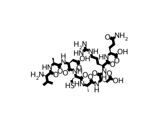 CC(C)[C@H](N)C(=O)N[C@@H](C)C(=O)N[C@@H](CC(=O)O)C(=O)N[C@@H](CS)C(=O)N[C@@H](C)C(=O)N[C@@H](CC(=O)O)C(=O)N[C@@H](CCCNC(=N)N)C(=O)N[C@@H](CCC(N)=O)C(=O)O